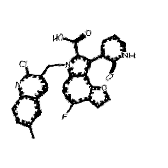 Cc1ccc2nc(Cl)c(Cn3c(C(=O)O)c(-c4ccc[nH]c4=O)c4c5occc5c(F)cc43)cc2c1